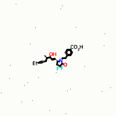 CCC#CC[C@@H](C)[C@H](O)C=C[C@H]1CC(F)(F)C(=O)N1CCc1ccc(C(=O)O)cc1